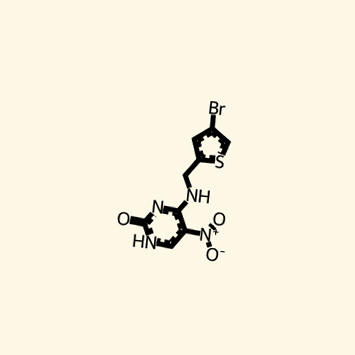 O=c1nc(NCc2cc(Br)cs2)c([N+](=O)[O-])c[nH]1